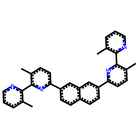 Cc1cccnc1-c1nc(-c2ccc3ccc(-c4ccc(C)c(-c5ncccc5C)n4)cc3c2)ccc1C